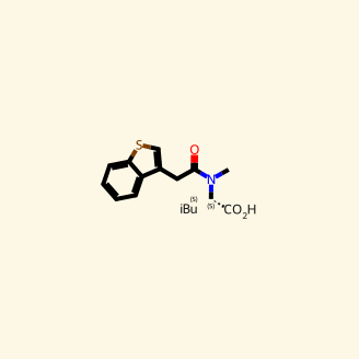 CC[C@H](C)[C@@H](C(=O)O)N(C)C(=O)Cc1csc2ccccc12